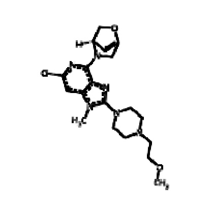 COCCN1CCN(c2nc3c(N4CC5=C[C@@H]4CO5)nc(Cl)cc3n2C)CC1